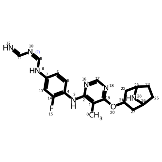 Cc1c(Nc2ccc(N/C=N\C=N)cc2F)ncnc1OC1CC2CCC(C1)N2